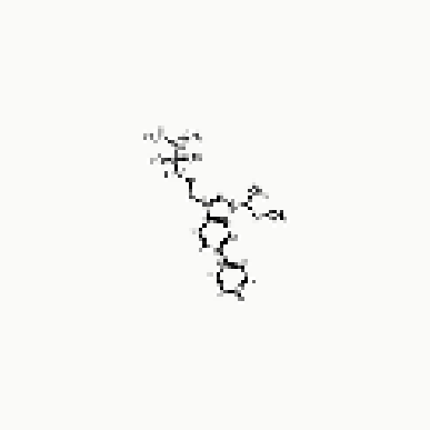 CCC(C)n1cc(CCNS(=O)(=O)N(C)C)c2ccc(-c3ccncc3)cc21